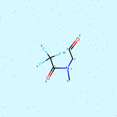 CN(C[C]=O)C(=O)C(F)(F)F